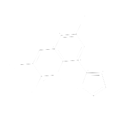 O=C(O)C1=Cc2cc(Cl)cc(-c3cccs3)c2OC1C(F)(F)F